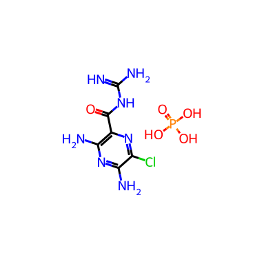 N=C(N)NC(=O)c1nc(Cl)c(N)nc1N.O=P(O)(O)O